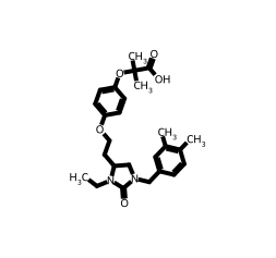 CCN1C(=O)N(Cc2ccc(C)c(C)c2)CC1CCOc1ccc(OC(C)(C)C(=O)O)cc1